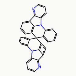 c1ccc2c(c1)-n1c3cccnc3c3cccc(c31)C21c2ccccc2-n2c3cccnc3c3cccc1c32